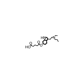 CCCN(CC)CCc1c[nH]c2cc(OC(=O)CCCC(=O)O)ccc12